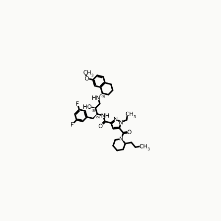 CCCC1CCCCN1C(=O)c1cc(C(=O)N[C@@H](Cc2cc(F)cc(F)c2)[C@@H](O)CN[C@H]2CCCc3ccc(OC)cc32)nn1CC